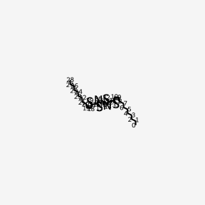 CCCCCCCCc1ccc(-c2nc3sc(-c4ccc(CCCCCCCC)s4)nc3s2)s1